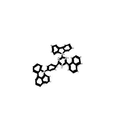 c1ccc2c(c1)-c1cccc3cccc(c13)N2c1ccc(-c2nc(-c3cccc4ccccc34)nc(-n3c4ccccc4c4ccccc43)n2)cc1